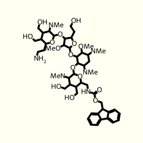 CNC1CC(NC)C(OC2OC(CNC(=O)OCC3c4ccccc4-c4ccccc43)C(CO)C(CO)C2NC)C(OC2OC(CCO)C(OC3OC(CCN)C(CO)C(CO)C3NC)C2OC)C1OC